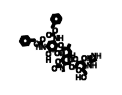 CC1C[C@@H]2OC(O[C@H]3OC(CO)[C@@H](NC4CNC4)[C@H](O)C3O)C3C(OC(=O)N3C)C2O[C@@H]1O[C@@H]1C(NC(=O)OCc2ccccc2)C[C@@H](NC(=O)OCc2ccccc2)C(O)[C@H]1O